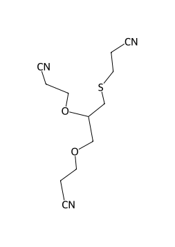 N#CCCOCC(CSCCC#N)OCCC#N